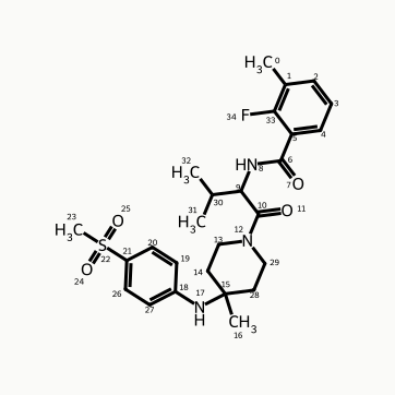 Cc1cccc(C(=O)NC(C(=O)N2CCC(C)(Nc3ccc(S(C)(=O)=O)cc3)CC2)C(C)C)c1F